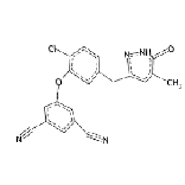 Cc1cc(Cc2ccc(Cl)c(Oc3cc(C#N)cc(C#N)c3)c2)n[nH]c1=O